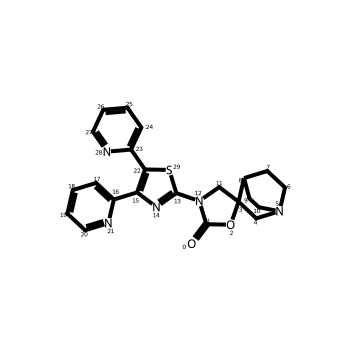 O=C1OC2(CN3CCC2CC3)CN1c1nc(-c2ccccn2)c(-c2ccccn2)s1